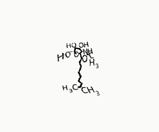 CC(=O)N[C@H]1C(CCCCCCCC(C)C)O[C@H](CO)[C@H](O)[C@@H]1O